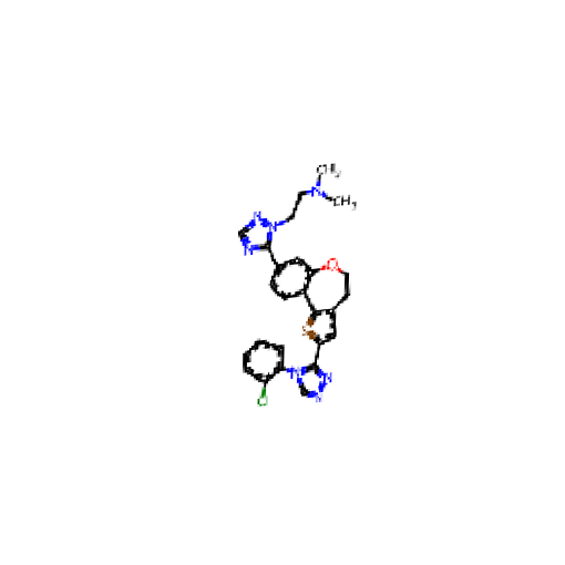 CN(C)CCn1ncnc1-c1ccc2c(c1)OCCc1cc(-c3nncn3-c3ccccc3Cl)sc1-2